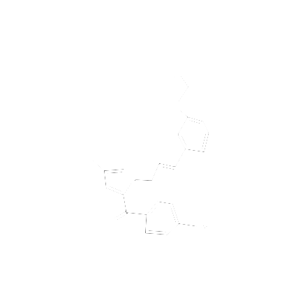 COc1ccc(C(=O)c2cc(C)cn2CC=Cc2cccc(OCC(=O)O)c2)cc1